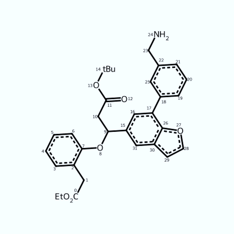 CCOC(=O)Cc1ccccc1OC(CC(=O)OC(C)(C)C)c1cc(-c2cccc(CN)c2)c2occc2c1